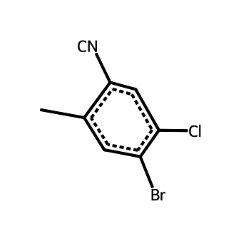 [C-]#[N+]c1cc(Cl)c(Br)cc1C